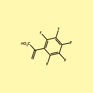 C=C(C(=O)O)c1c(F)c(F)c(F)c(F)c1F